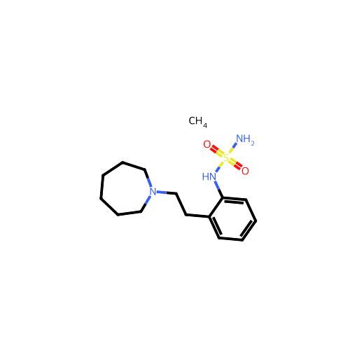 C.NS(=O)(=O)Nc1ccccc1CCN1CCCCCC1